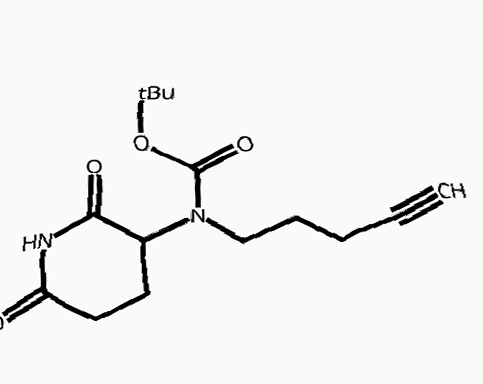 C#CCCCN(C(=O)OC(C)(C)C)C1CCC(=O)NC1=O